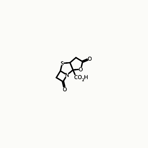 O=C1CC2SC3CC(=O)N3C2(C(=O)O)O1